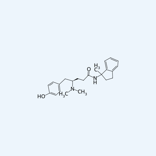 CN(C)[C@H](CCC(=O)NC1(C)CCc2ccccc21)Cc1ccc(O)cc1